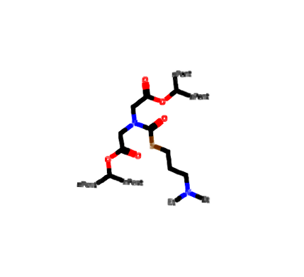 CCCCCC(CCCCC)OC(=O)CN(CC(=O)OC(CCCCC)CCCCC)C(=O)SCCCN(CC)CC